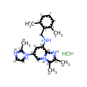 Cc1cccc(C)c1CNc1cc(-n2ccnc2C)cn2c(C)c(C)nc12.Cl